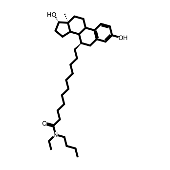 CCCCN(CC)C(=O)CCCCCCCCCC[C@@H]1Cc2cc(O)ccc2C2CC[C@@]3(C)C(CC[C@@H]3O)C21